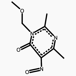 COCn1c(C)nc(C)c(N=O)c1=O